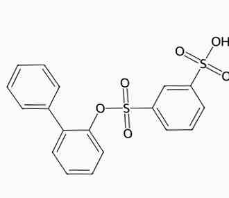 O=S(=O)(O)c1cccc(S(=O)(=O)Oc2ccccc2-c2ccccc2)c1